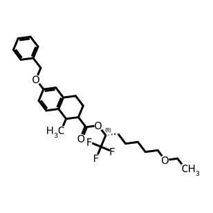 CCOCCCCC[C@@H](OC(=O)C1CCc2cc(OCc3ccccc3)ccc2C1C)C(F)(F)F